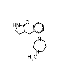 CN1CCCN(c2ccccc2CC2CCNC2=O)CC1